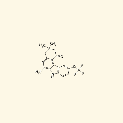 Cc1nc2c(c3c1[nH]c1ccc(OC(F)(F)F)cc13)C(=O)CC(C)(C)C2